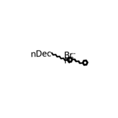 CCCCCCCCCCCCCCCCCC[n+]1ccc(/C=C/C=C/c2ccccc2)cc1.[Br-]